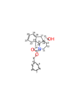 O=C(OCc1ccccc1)N1CCC[C@]2(CO)CC3=CC=CCC34C[C@]142